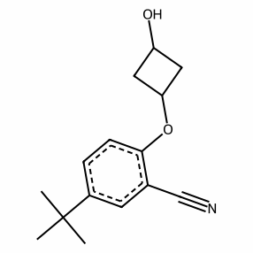 CC(C)(C)c1ccc(OC2CC(O)C2)c(C#N)c1